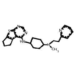 CN(CCc1ccccn1)C1CCC(Nc2ncnc3sc4c(c23)CCC4)CC1